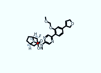 COCOc1cc(C2=CCOC2)ccc1-c1cnc(N(C)[C@@H]2C[C@H]3CC[C@@H]([C@@H]2F)N3C(=O)O)cn1